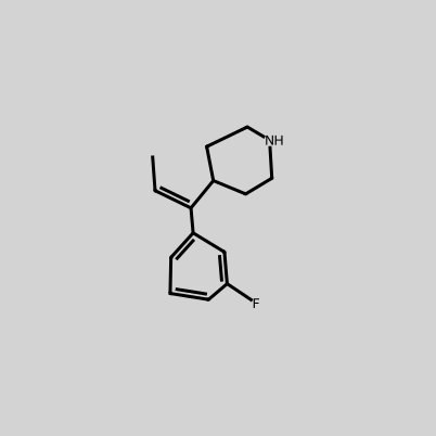 CC=C(c1cccc(F)c1)C1CCNCC1